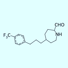 O=CC1CCC(CCCc2ccc(C(F)(F)F)cc2)CCN1